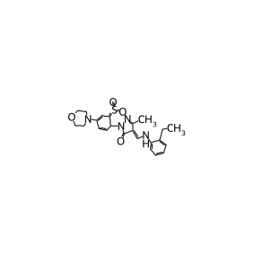 CCc1ccccc1NC=C1C(=O)N(C2C=CC(N3CCOCC3)=CC2=S(=O)=O)N=C1C